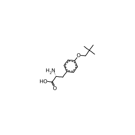 CC(C)(C)COc1ccc(C[C@@H](N)C(=O)O)cc1